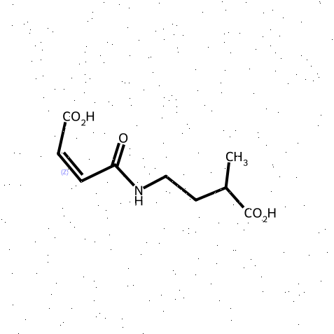 CC(CCNC(=O)/C=C\C(=O)O)C(=O)O